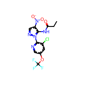 CCC(=O)Nc1c([N+](=O)[O-])cnn1-c1ncc(OC(F)(F)F)cc1Cl